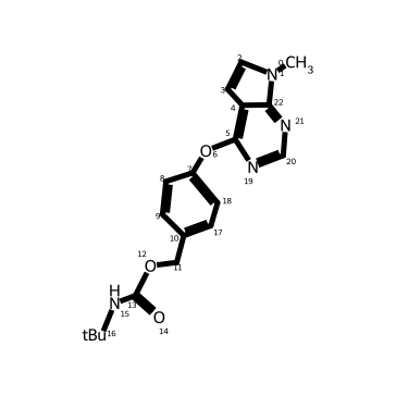 Cn1ccc2c(Oc3ccc(COC(=O)NC(C)(C)C)cc3)ncnc21